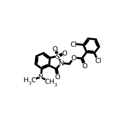 CN(C)c1cccc2c1C(=O)N(COC(=O)c1c(Cl)cccc1Cl)S2(=O)=O